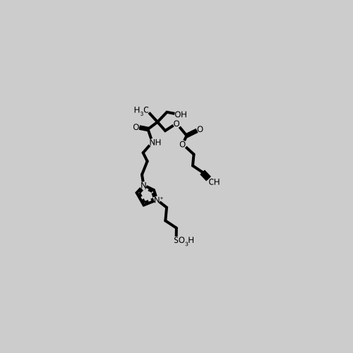 C#CCCOC(=O)OCC(C)(CO)C(=O)NCCCn1cc[n+](CCCS(=O)(=O)O)c1